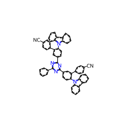 N#Cc1ccc(-c2cc(-c3nc(-c4ccccc4)nc(-c4ccc(-n5c6ccccc6c6ccccc65)c(-c5ccc(C#N)cc5)c4)n3)ccc2-n2c3ccccc3c3ccccc32)cc1